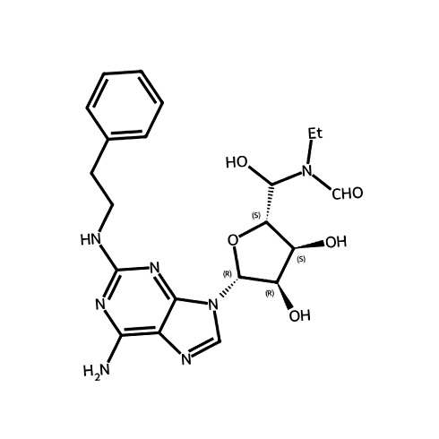 CCN(C=O)C(O)[C@H]1O[C@@H](n2cnc3c(N)nc(NCCc4ccccc4)nc32)[C@H](O)[C@@H]1O